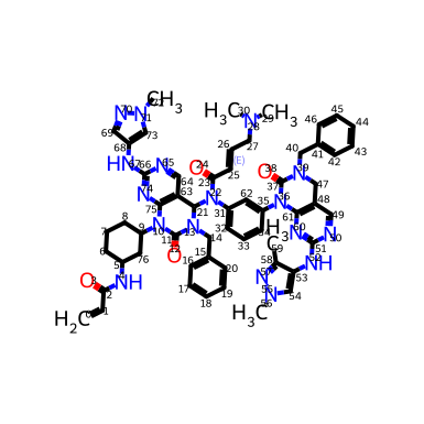 C=CC(=O)NC1CCCC(N2C(=O)N(Cc3ccccc3)C(N(C(=O)/C=C/CN(C)C)c3cccc(N4C(=O)N(Cc5ccccc5)Cc5cnc(Nc6cn(C)nc6C)nc54)c3)c3cnc(Nc4cnn(C)c4)nc32)C1